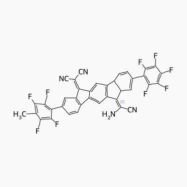 Cc1c(F)c(F)c(-c2ccc3c(c2)C(=C(C#N)C#N)c2cc4c(cc2-3)/C(=C(\N)C#N)C2C=C(c3c(F)c(F)c(F)c(F)c3F)C=CC42)c(F)c1F